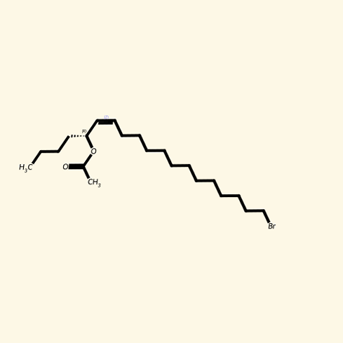 CCCC[C@H](/C=C\CCCCCCCCCCCCBr)OC(C)=O